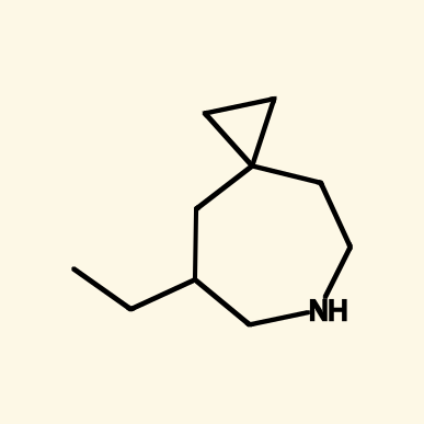 CCC1CNCCC2(CC2)C1